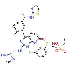 CC(C)=O.CCS(=O)(=O)O.Cc1ccc(C(=O)Nc2nccs2)cc1-c1nc(NCc2ncc[nH]2)nc2c1ccc(=O)n2-c1c(F)cccc1F